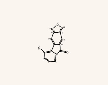 O=C1c2cccc(Br)c2-c2nc3nonc3nc21